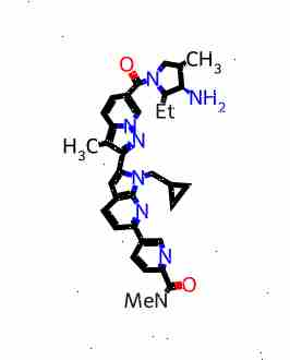 CCC1[C@H](N)C(C)CN1C(=O)c1ccc2c(C)c(-c3cc4ccc(-c5ccc(C(=O)NC)nc5)nc4n3CC3CC3)nn2c1